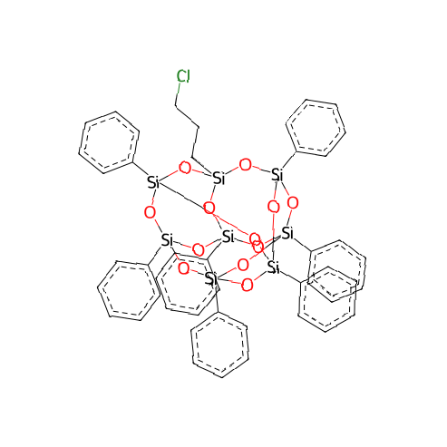 ClCCC[Si]12O[Si]3(c4ccccc4)O[Si]4(c5ccccc5)O[Si](c5ccccc5)(O1)O[Si]1(c5ccccc5)O[Si](c5ccccc5)(O2)O[Si](c2ccccc2)(O3)O[Si](c2ccccc2)(O4)O1